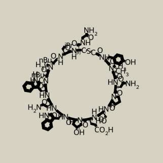 CCCC[C@H]1C(=O)N(C)[C@@H](CCCC)C(=O)N[C@@H](CC(C)C)C(=O)N[C@H](C(=O)NCC(N)=O)CSCC(=O)N[C@@H](Cc2ccc(O)cc2)C(=O)N(C)[C@@H](C)C(=O)N[C@@H](CC(N)=O)C(=O)N2CCC[C@H]2C(=O)N[C@@H](CO)C(=O)N[C@@H](CCC(=O)O)C(=O)N2C[C@H](O)C[C@H]2C(=O)N[C@@H](Cc2c[nH]c3ccccc23)C(=O)N[C@@H](CCN)C(=O)N[C@@H](Cc2c[nH]c3ccccc23)C(=O)N1C